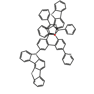 c1ccc(-c2nc(-c3ccccc3)nc(-c3ccc(-n4c5ccccc5c5c6sc7ccccc7c6ccc54)cc3-c3cc(-c4ccccn4)ccc3-n3c4ccccc4c4c5sc6ccccc6c5ccc43)n2)cc1